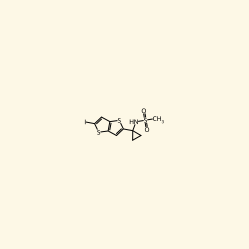 CS(=O)(=O)NC1(c2cc3sc(I)cc3s2)CC1